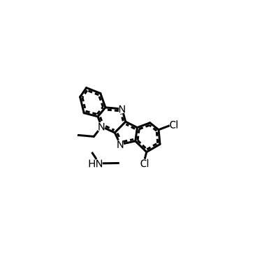 CCn1c2nc3c(Cl)cc(Cl)cc3c-2nc2ccccc21.CNC